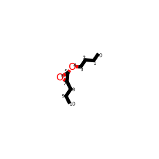 CCCCOC1OC1CCC